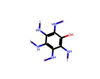 Oc1c(NI)c(NI)c(NI)c(NI)c1NI